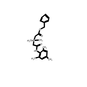 Cc1cc(C)c(NC(=O)C[PH](C)(C)CC(=O)OCc2ccccc2)c(C)c1